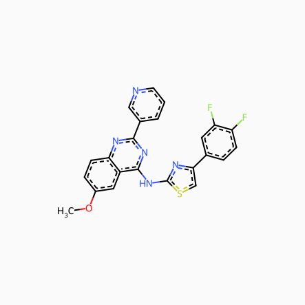 COc1ccc2nc(-c3cccnc3)nc(Nc3nc(-c4ccc(F)c(F)c4)cs3)c2c1